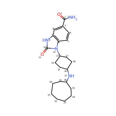 NC(=O)c1ccc2c(c1)[nH]c(=O)n2C1CCC(NC2CCCCCCC2)CC1